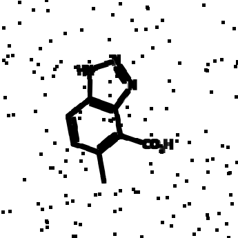 Cc1ccc2[nH]nnc2c1C(=O)O